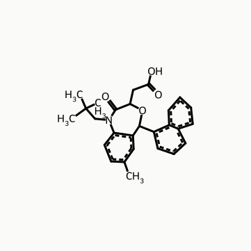 Cc1ccc2c(c1)C(c1cccc3ccccc13)OC(CC(=O)O)C(=O)N2CC(C)(C)C